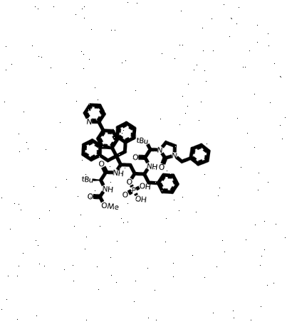 COC(=O)N[C@H](C(=O)NC(CC(OP(=O)(O)O)C(Cc1ccccc1)NC(=O)C(N1CCN(Cc2ccccc2)C1=O)C(C)(C)C)C(Cc1ccccc1)(Cc1ccccc1)c1ccc(-c2ccccn2)cc1)C(C)(C)C